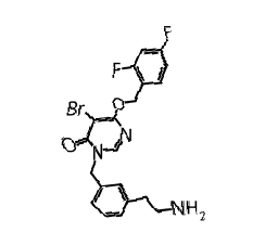 NCCc1cccc(Cn2cnc(OCc3ccc(F)cc3F)c(Br)c2=O)c1